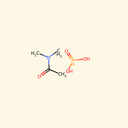 CC(=O)N(C)C.O=[PH](O)O